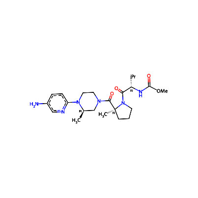 COC(=O)N[C@H](C(=O)N1CCC[C@@]1(C)C(=O)N1CCN(c2ccc(N)cn2)[C@H](C)C1)C(C)C